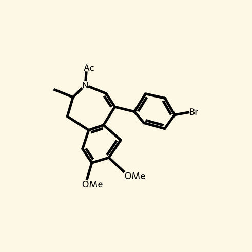 COc1cc2c(cc1OC)C(c1ccc(Br)cc1)=CN(C(C)=O)C(C)C2